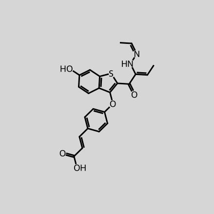 C/C=N\N/C(=C\C)C(=O)c1sc2cc(O)ccc2c1Oc1ccc(/C=C/C(=O)O)cc1